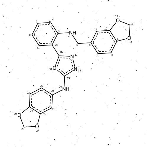 c1cnc(NCc2ccc3c(c2)OCO3)c(-c2nnc(Nc3ccc4c(c3)OCO4)o2)c1